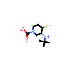 CC(C)(C)N[C@@H]1CN(C(=O)O)CC[C@H]1F